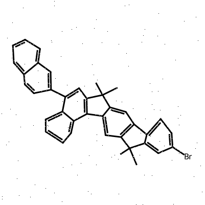 CC1(C)c2cc(Br)ccc2-c2cc3c(cc21)-c1c(cc(-c2ccc4ccccc4c2)c2ccccc12)C3(C)C